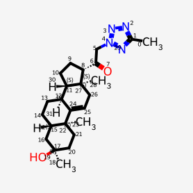 Cc1nnn(CC(=O)[C@H]2CC[C@H]3[C@@H]4CC[C@H]5C[C@](C)(O)CC[C@]5(C)C4=CC[C@]23C)n1